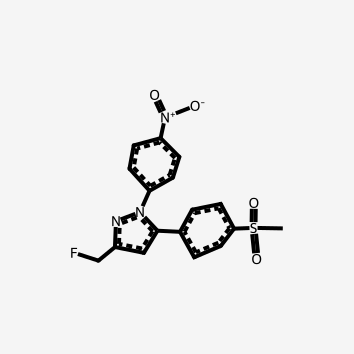 CS(=O)(=O)c1ccc(-c2cc(CF)nn2-c2ccc([N+](=O)[O-])cc2)cc1